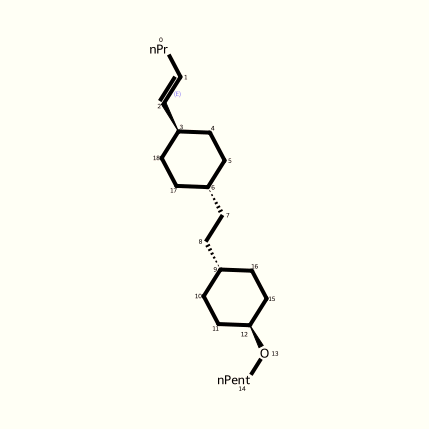 CCC/C=C/[C@H]1CC[C@H](CC[C@H]2CC[C@H](OCCCCC)CC2)CC1